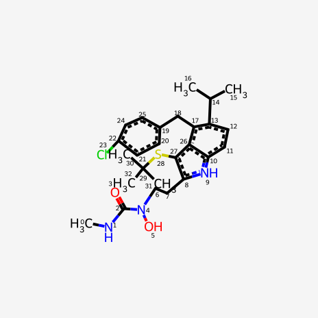 CNC(=O)N(O)CCc1[nH]c2ccc(C(C)C)c(Cc3ccc(Cl)cc3)c2c1SC(C)(C)C